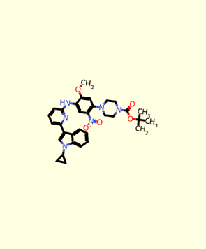 COc1cc(N2CCN(C(=O)OC(C)(C)C)CC2)c([N+](=O)[O-])cc1Nc1cccc(-c2cn(C3CC3)c3ccccc23)n1